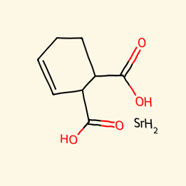 O=C(O)C1C=CCCC1C(=O)O.[SrH2]